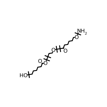 CC(C)(O)CCCCCC(=O)OC(C)(C)C(C)(C)CCOC(C)(C)C(C)(C)C(=O)CCCCCOC(C)(C)N